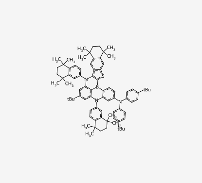 CC(C)(C)c1ccc(N(c2ccc(C(C)(C)C)cc2)c2ccc3c(c2)N(c2ccc4c(c2)C(C)(C)CCC4(C)C)c2cc(C(C)(C)C)cc4c2B3c2sc3cc5c(cc3c2N4c2ccc3c(c2)C(C)(C)CCC3(C)C)C(C)(C)CCC5(C)C)cc1